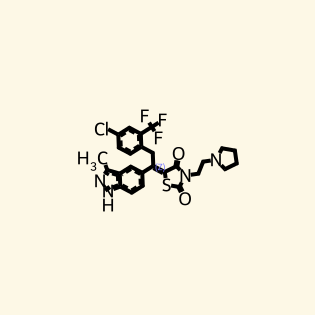 Cc1n[nH]c2ccc(/C(Cc3ccc(Cl)cc3C(F)(F)F)=C3\SC(=O)N(CCN4CCCC4)C3=O)cc12